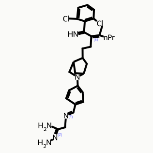 CCC/C(C)=C(\CCC1CC2CC1CN2c1ccc(/C=N/C/C(N)=N/N)cc1)C(=N)c1c(Cl)cccc1Cl